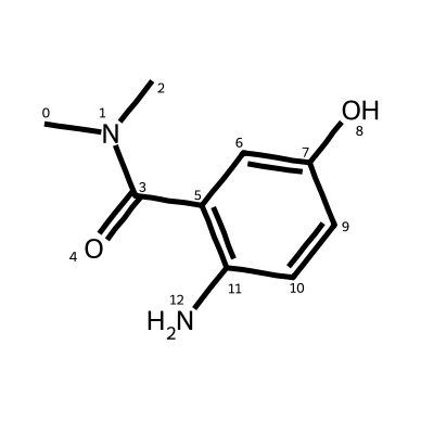 CN(C)C(=O)c1cc(O)ccc1N